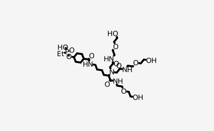 CCP(=O)(O)OC1CCC(C(=O)NCCCCC(C(=O)NCCOCCO)N(CC(=O)NCCOCCO)CC(=O)NCCOCCO)CC1